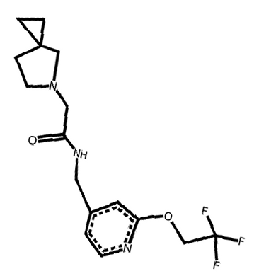 O=C(CN1CCC2(CC2)C1)NCc1ccnc(OCC(F)(F)F)c1